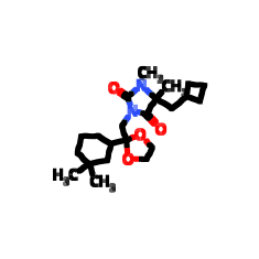 CN1C(=O)N(CC2(C3CCCC(C)(C)C3)OCCO2)C(=O)C1(C)CC1CCC1